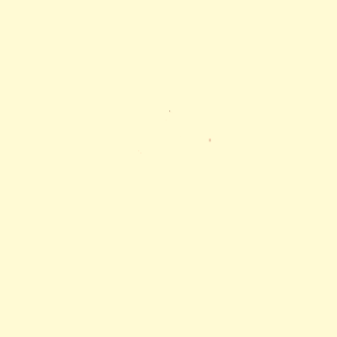 NC(O)=C(C(=O)O)c1ccccc1